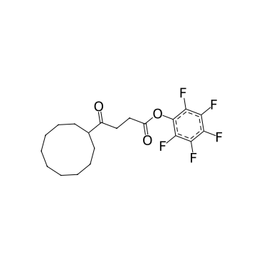 O=C(CCC(=O)C1CCCCCCCCC1)Oc1c(F)c(F)c(F)c(F)c1F